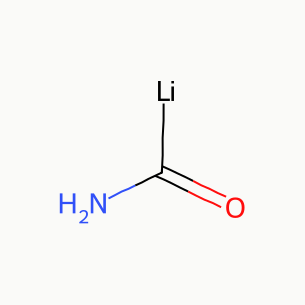 [Li][C](N)=O